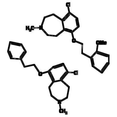 CN1CCc2c(Cl)ccc(OCCc3ccccc3)c2CC1.COc1ccccc1CCOc1ccc(Cl)c2c1CCN(C)CC2